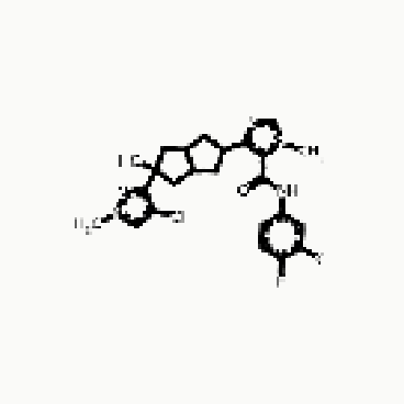 Cn1cc(Cl)c(C2(O)CC3CC(c4ncn(C)c4C(=O)Nc4ccc(F)c(Cl)c4)CC3C2)n1